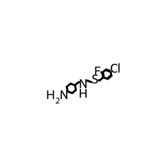 NC1CCC(CNCCSCc2ccc(Cl)cc2F)CC1